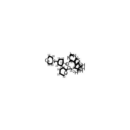 [2H]C1([2H])c2sc3ncnc(O[C@H]4CC[C@H](N5CCOCC5)CC4)c3c2[C@@H](COC2CCCCO2)C1([2H])[2H]